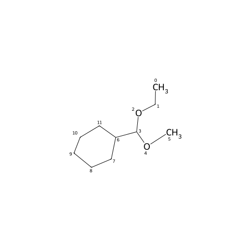 CCOC(OC)C1CCCCC1